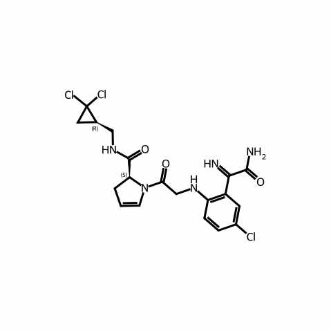 N=C(C(N)=O)c1cc(Cl)ccc1NCC(=O)N1C=CC[C@H]1C(=O)NC[C@H]1CC1(Cl)Cl